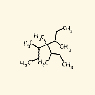 CCC(C)[Si](C)(C(C)CC)C(C)CC